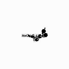 COCCOCC(=O)OCn1c(N(C)C2CCN(c3nc4ccccc4n3Cc3ccc(F)cc3)CC2)nccc1=O